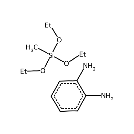 CCO[Si](C)(OCC)OCC.Nc1ccccc1N